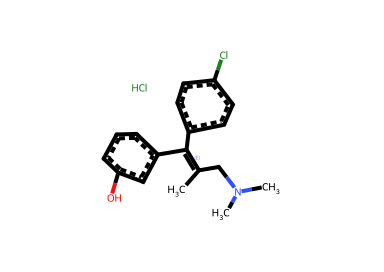 C/C(CN(C)C)=C(/c1ccc(Cl)cc1)c1cccc(O)c1.Cl